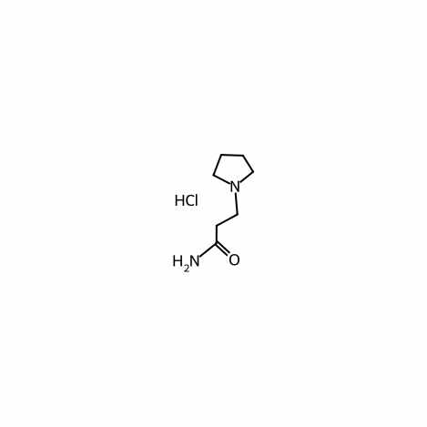 Cl.NC(=O)CCN1CCCC1